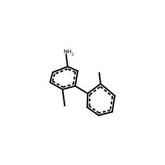 Cc1ccccc1-c1cc(N)ccc1C